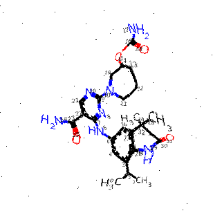 CC(C)c1cc(Nc2nc(N3CCCC(OC(N)=O)C3)ncc2C(N)=O)cc2c1NC(=O)C2(C)C